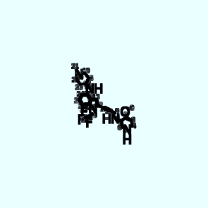 COC1=CCNC=C1NCC#Cc1cc2c(NC3CCN(C)CC3)cccc2n1CC(F)(F)F